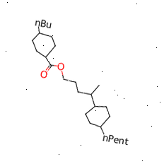 CCCCCC1CCC(C(C)CCCOC(=O)C2CCC(CCCC)CC2)CC1